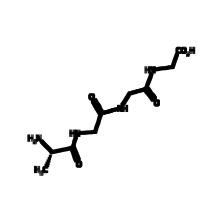 C[C@H](N)C(=O)NCC(=O)NCC(=O)NCC(=O)O